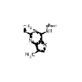 C=Cc1nc(NCCCCC)c2scc(C)c2n1